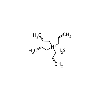 C=CC[N+](CC=C)(CC=C)CC=C.S